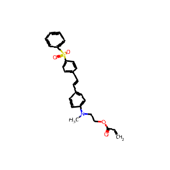 C=CC(=O)OCCN(C)c1ccc(C=Cc2ccc(S(=O)(=O)c3ccccc3)cc2)cc1